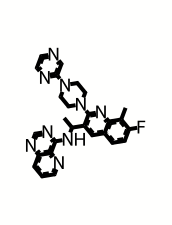 Cc1c(F)ccc2cc(C(C)Nc3ncnc4cccnc34)c(N3CCN(c4cnccn4)CC3)nc12